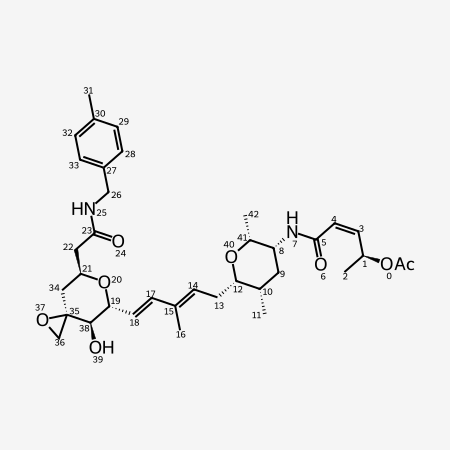 CC(=O)O[C@@H](C)/C=C\C(=O)N[C@@H]1C[C@H](C)[C@H](C/C=C(C)/C=C/[C@H]2O[C@H](CC(=O)NCc3ccc(C)cc3)C[C@@]3(CO3)[C@@H]2O)O[C@@H]1C